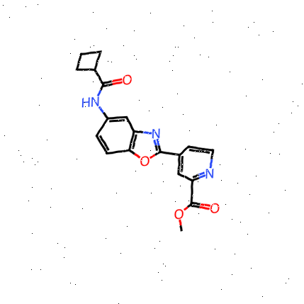 COC(=O)c1cc(-c2nc3cc(NC(=O)C4CCC4)ccc3o2)ccn1